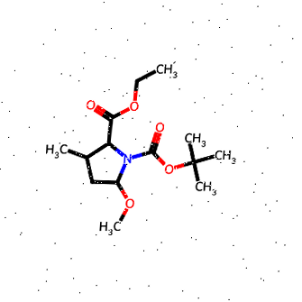 CCOC(=O)C1C(C)CC(OC)N1C(=O)OC(C)(C)C